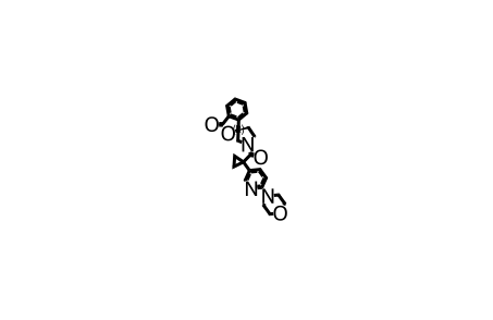 O=C1O[C@]2(CCN(C(=O)C3(c4ccc(N5CCOCC5)nc4)CC3)C2)c2ccccc21